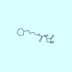 O=C(NC1CNC1=O)OCCCCC1CCCCC1